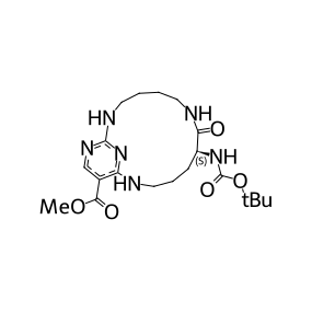 COC(=O)c1cnc2nc1NCCC[C@H](NC(=O)OC(C)(C)C)C(=O)NCCCCN2